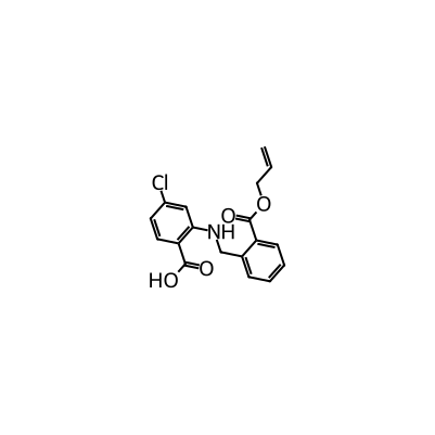 C=CCOC(=O)c1ccccc1CNc1cc(Cl)ccc1C(=O)O